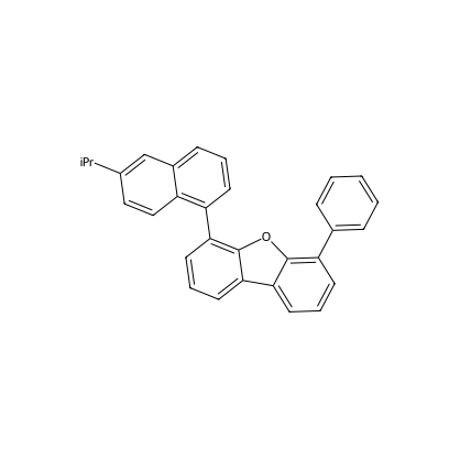 CC(C)c1ccc2c(-c3cccc4c3oc3c(-c5ccccc5)cccc34)cccc2c1